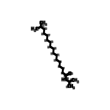 C[C](C)NC(=O)CCCCCCCCCCCCCCC(C)C